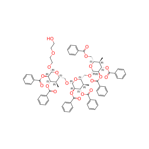 C[C@H]1[C@H](OC(=O)c2ccccc2)[C@@H](OC(=O)c2ccccc2)[C@H](OC[C@H]2O[C@@H](OC[C@H]3O[C@@H](OCCOCCO)[C@H](OC(=O)c4ccccc4)[C@@H](OC(=O)c4ccccc4)[C@@H]3C)[C@H](OC(=O)c3ccccc3)[C@@H](OC(=O)c3ccccc3)[C@@H]2C)O[C@@H]1COC(=O)c1ccccc1